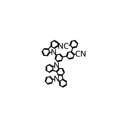 N#Cc1ccccc1-c1cc(-c2cc(-n3c4ccccc4c4ccccc43)cc(-n3c4ccccc4c4c3ccc3c5ccccc5n(-c5ccccc5)c34)c2)ccc1C#N